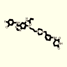 C=CC(=O)Nc1cc2c(Nc3ccc(F)c(Cl)c3)ncnc2cc1OCCCN1CCN(Cc2cccc(NC3CCC(=O)NC3=O)c2)CC1